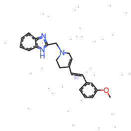 COc1cccc(/C=C/C2=CCN(Cc3nc4ccccc4[nH]3)CC2)c1